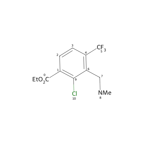 CCOC(=O)c1ccc(C(F)(F)F)c(CNC)c1Cl